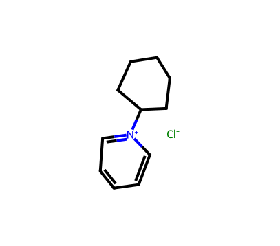 [Cl-].c1cc[n+](C2CCCCC2)cc1